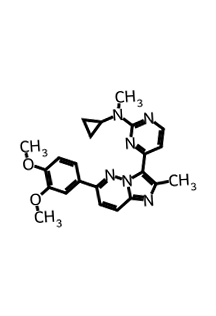 COc1ccc(-c2ccc3nc(C)c(-c4ccnc(N(C)C5CC5)n4)n3n2)cc1OC